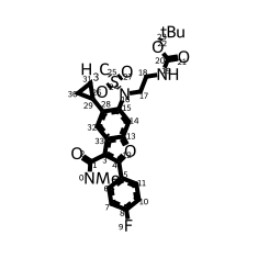 CNC(=O)c1c(-c2ccc(F)cc2)oc2cc(N(CCNC(=O)OC(C)(C)C)S(C)(=O)=O)c(C3CC3)cc12